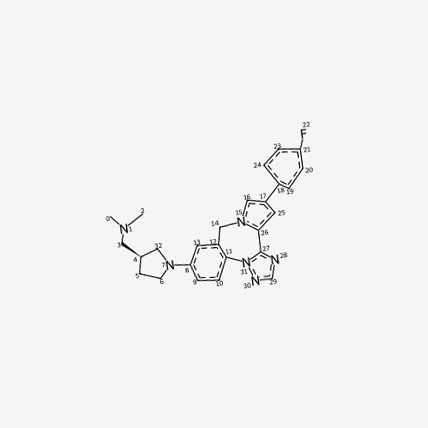 CN(C)C[C@@H]1CCN(c2ccc3c(c2)Cn2cc(-c4ccc(F)cc4)cc2-c2ncnn2-3)C1